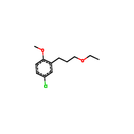 [CH2]COCCCc1cc(Cl)ccc1OC